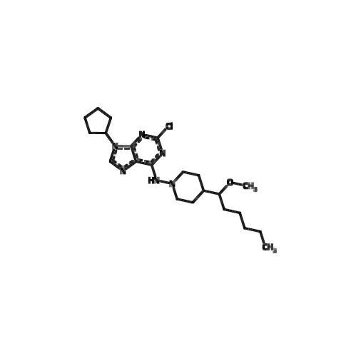 CCCCCC(OC)C1CCN(Nc2nc(Cl)nc3c2ncn3C2CCCC2)CC1